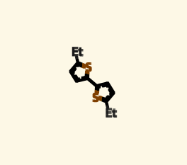 CCc1ccc(-c2ccc(CC)s2)s1